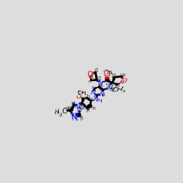 COc1cc(Nc2ncc3c(n2)N(C)C2(CCOC2)C(=O)N3C2COC2)ccc1-n1cnc(C)c1